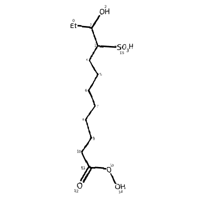 CCC(O)C(CCCCCCCC(=O)OO)S(=O)(=O)O